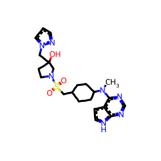 CN(c1ncnc2[nH]ccc12)C1CCC(CS(=O)(=O)N2CCC(O)(Cn3cccn3)C2)CC1